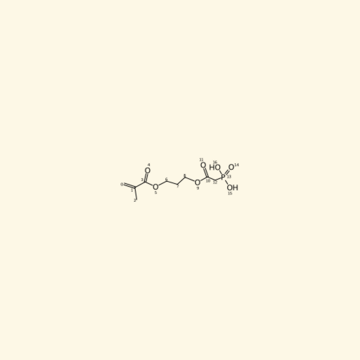 C=C(C)C(=O)OCCCOC(=O)CP(=O)(O)O